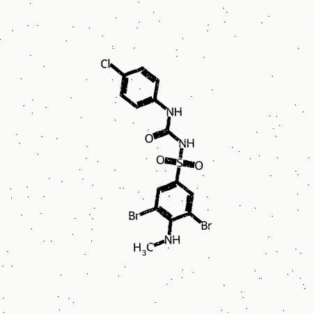 CNc1c(Br)cc(S(=O)(=O)NC(=O)Nc2ccc(Cl)cc2)cc1Br